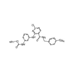 COc1ccc(CNC(=O)c2cnc(Cl)nc2Nc2cccc(NC(=O)OC(C)(C)C)c2)cc1